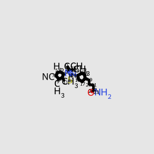 C=C1N(c2ccc(C#N)c(C)c2C)C(=S)N(c2ccc(CCCC(N)=O)cc2)C1(C)C